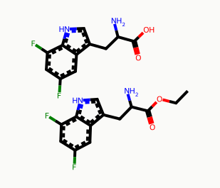 CCOC(=O)C(N)Cc1c[nH]c2c(F)cc(F)cc12.NC(Cc1c[nH]c2c(F)cc(F)cc12)C(=O)O